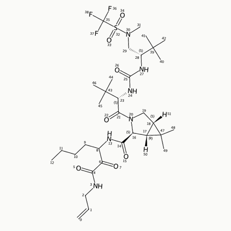 C=CCNC(=O)C(=O)C(CCCC)NC(=O)[C@@H]1[C@@H]2[C@H](CN1C(=O)[C@@H](NC(=O)N[C@H](CN(C)S(=O)(=O)C(F)(F)F)C(C)(C)C)C(C)(C)C)C2(C)C